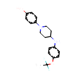 Oc1ccc(N2CCC(Nc3ccc(OC(F)(F)C(F)(F)F)cc3)CC2)cc1